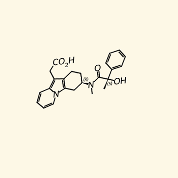 CN(C(=O)[C@@](C)(O)c1ccccc1)[C@@H]1CCc2c(CC(=O)O)c3ccccn3c2C1